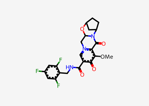 COc1c2n(cc(C(=O)NCc3c(F)cc(F)cc3F)c1=O)CC1OC3CCC(C3)N1C2=O